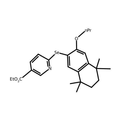 CCCOc1cc2c(cc1[Se]c1ccc(C(=O)OCC)cn1)C(C)(C)CCC2(C)C